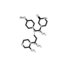 COC1CCN([C@@H](CC[C@@H](C)N2CCOCC2C)[C@H](C)N2CCNC(=O)C2)CC1